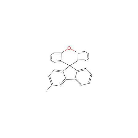 Cc1ccc2c(c1)-c1ccccc1C21c2ccccc2Oc2ccccc21